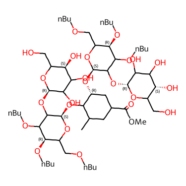 CCCCOCC1O[C@H](OC2C(C)CC(C(=O)OC)C[C@H]2O[C@H]2OC(COCCCC)[C@@H](OCCCC)C(OCCCC)C2O[C@H]2OC(CO)[C@@H](O)C(O)C2O)C(O[C@H]2OC(CO)[C@@H](O)C(O)C2O)C(OCCCC)[C@@H]1OCCCC